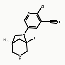 C#Cc1cc(N2C[C@@H]3CNC[C@@H]2C3)cnc1Cl